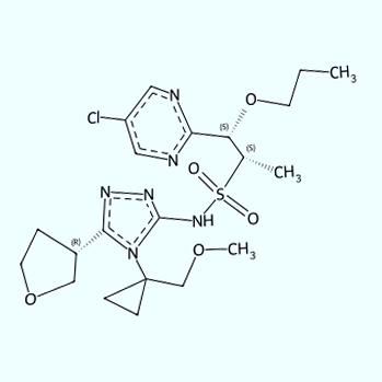 CCCO[C@@H](c1ncc(Cl)cn1)[C@H](C)S(=O)(=O)Nc1nnc([C@H]2CCOC2)n1C1(COC)CC1